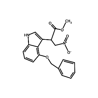 COC(=O)C(C[N+](=O)[O-])c1c[nH]c2cccc(OCc3ccccc3)c12